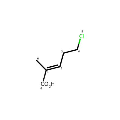 C/C(=C\CCCl)C(=O)O